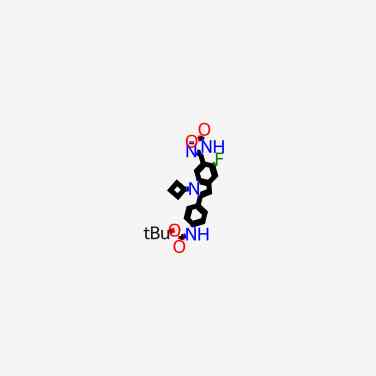 CC(C)(C)OC(=O)Nc1ccc(-c2cc3cc(F)c(-c4noc(=O)[nH]4)cc3n2C2CCC2)cc1